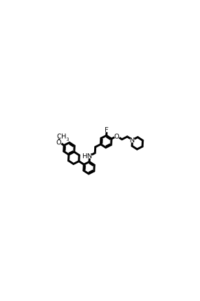 COc1ccc2c(c1)CCC(c1ccccc1NCCc1ccc(OCCN3CCCCC3)c(F)c1)C2